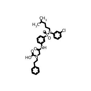 CC(C)CCCN(c1cccc(Cl)c1)S(=O)(=O)c1cccc(NC(=O)CN(CCc2ccccc2)C(=O)O)c1